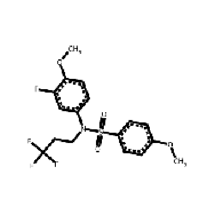 COc1ccc(S(=O)(=O)N(CCC(F)(F)F)c2ccc(OC)c(F)c2)cc1